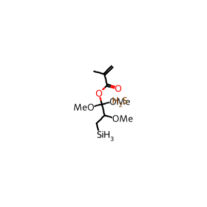 C=C(C)C(=O)OC(OC)(OC)C(C[SiH3])OC.S